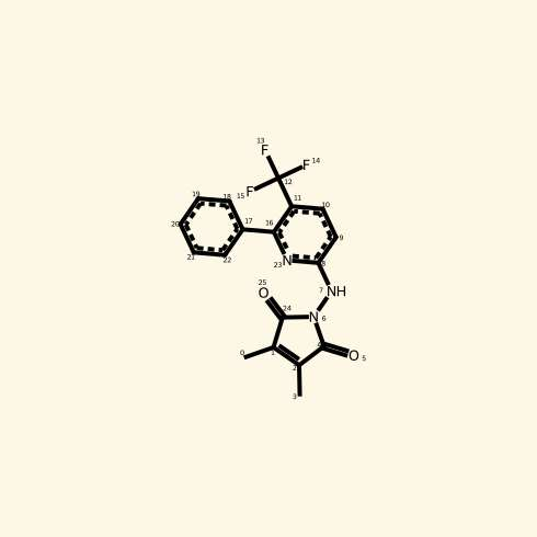 CC1=C(C)C(=O)N(Nc2ccc(C(F)(F)F)c(-c3ccccc3)n2)C1=O